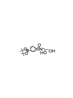 CC1(C)OB(c2ccc(C(=O)NCC(O)CO)cc2)OC1(C)C